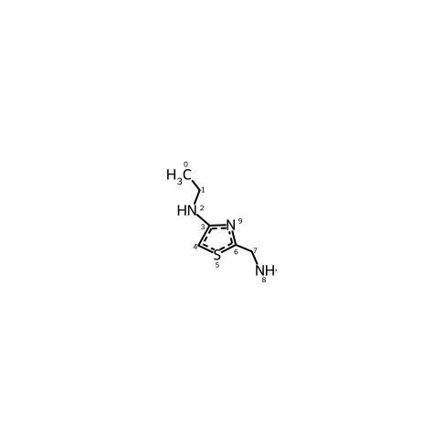 CCNc1csc(C[NH])n1